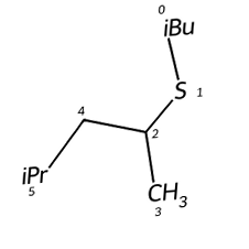 CCC(C)SC(C)CC(C)C